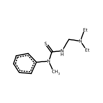 CCN(CC)CNC(=S)N(C)c1ccccc1